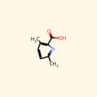 Cc1ccc(C)c(C(=O)O)n1